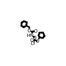 O=C(NOP(=O)(Cl)Oc1ccccc1)OCc1ccccc1